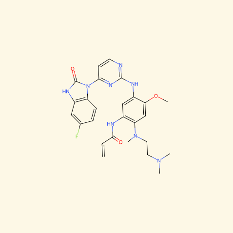 C=CC(=O)Nc1cc(Nc2nccc(-n3c(=O)[nH]c4cc(F)ccc43)n2)c(OC)cc1N(C)CCN(C)C